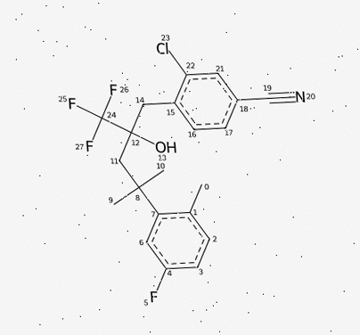 Cc1ccc(F)cc1C(C)(C)CC(O)(Cc1ccc(C#N)cc1Cl)C(F)(F)F